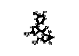 Cc1nc(C(=O)N2[C@H](CN)C[C@@H]3C[C@@H]32)c(-c2ccc(F)c(Br)c2)s1